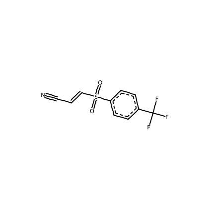 N#CC=CS(=O)(=O)c1ccc(C(F)(F)F)cc1